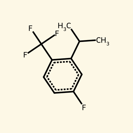 CC(C)c1cc(F)ccc1C(F)(F)F